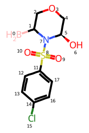 BC1COC[C@@H](O)N1S(=O)(=O)c1ccc(Cl)cc1